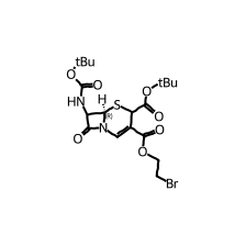 CC(C)(C)OC(=O)NC1C(=O)N2C=C(C(=O)OCCBr)C(C(=O)OC(C)(C)C)S[C@H]12